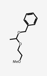 COCCOC(C)OCc1ccccc1